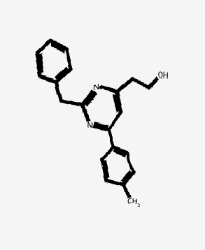 Cc1ccc(-c2cc(CCO)nc(Cc3ccccc3)n2)cc1